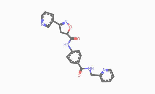 O=C(NCc1ccccn1)c1ccc(NC(=O)C2CC(c3cccnc3)=NO2)cc1